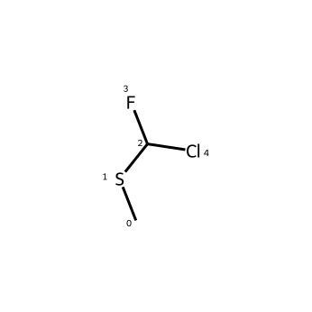 CSC(F)Cl